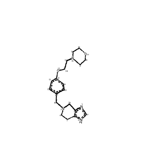 c1nc2c([nH]1)CCN(Cc1ccc(OCCN3CCOCC3)cc1)C2